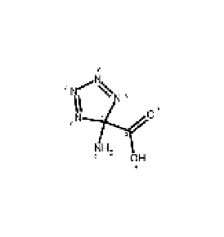 NC1(C(=O)O)N=NN=N1